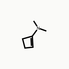 CN(C)C1=CCC1